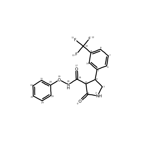 O=C1NCC(c2cccc(C(F)(F)F)c2)C1C(=O)NOc1ccccc1